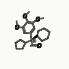 COc1cc([C@@]([C]=O)(C2CCCCC2)C2CCCC2)cc(OC)c1OC